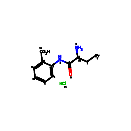 CC(C)C[C@H](N)C(=O)Nc1ccccc1C(=O)O.Cl